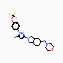 Cc1cc(N2CC3CCC(CN4CCOCC4)CC3C2)nn1-c1ccc(OC(F)(F)F)cc1